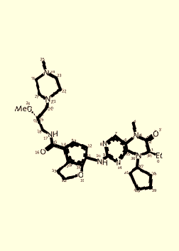 CC[C@@H]1C(=O)N(C)c2cnc(Nc3ccc(C(=O)NC[C@@H](CN4CCN(C)CC4)OC)c4c3OCC4)nc2N1C1CCCC1